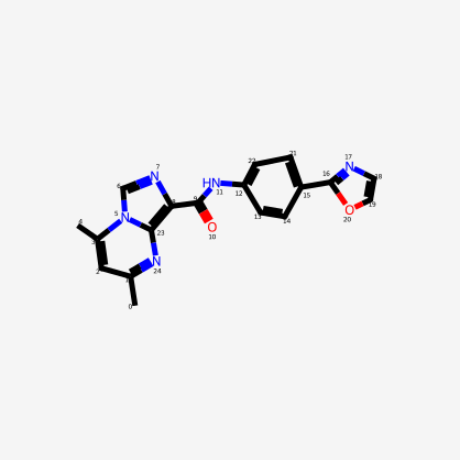 Cc1cc(C)n2cnc(C(=O)Nc3ccc(-c4ncco4)cc3)c2n1